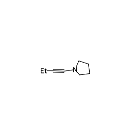 [CH2]CC#CN1CCCC1